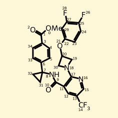 COC(=O)c1ccc(C2(NC(=O)c3cc(C(F)(F)F)cnc3N3CC(Oc4ccc(F)c(F)c4)C3)CC2)cc1